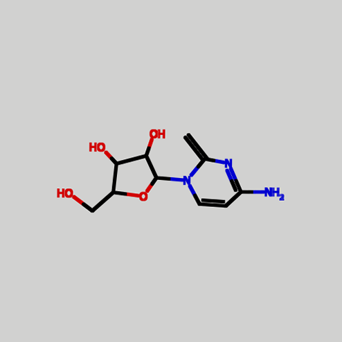 C=C1N=C(N)C=CN1C1OC(CO)C(O)C1O